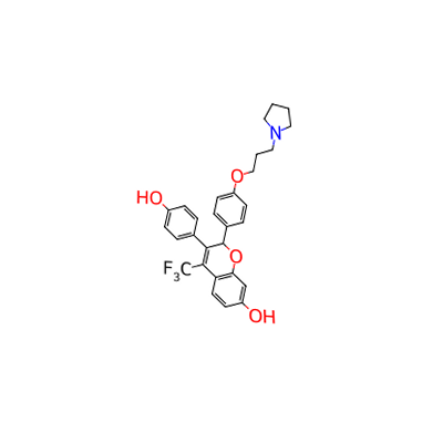 Oc1ccc(C2=C(C(F)(F)F)c3ccc(O)cc3OC2c2ccc(OCCCN3CCCC3)cc2)cc1